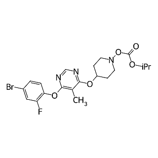 Cc1c(Oc2ccc(Br)cc2F)ncnc1OC1CCN(OC(=O)OC(C)C)CC1